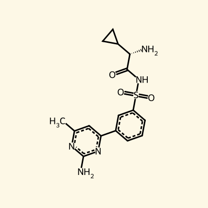 Cc1cc(-c2cccc(S(=O)(=O)NC(=O)[C@@H](N)C3CC3)c2)nc(N)n1